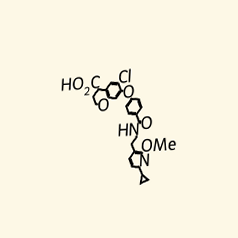 COc1nc(C2CC2)ccc1CCNC(=O)c1ccc(Oc2cc3c(cc2Cl)C(C(=O)O)CCO3)cc1